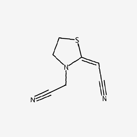 N#CC=C1SCCN1CC#N